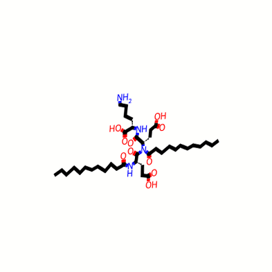 CCCCCCCCCCCC(=O)N[C@@H](CCC(=O)O)C(=O)N(C(=O)CCCCCCCCCCC)[C@@H](CCC(=O)O)C(=O)N[C@@H](CCCCN)C(=O)O